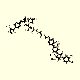 Cc1ncsc1-c1ccc(CNC(=O)[C@@H]2C[C@@H](O)CN2C(=O)[C@@H](NC(=O)COCC(F)CCOc2ccc(-c3ncc(N4C(=S)N(c5ccc(C#N)c(C(F)(F)F)c5F)C(=O)C4(C)C)cc3F)c(C(F)(F)F)c2)C(C)(C)C)cc1